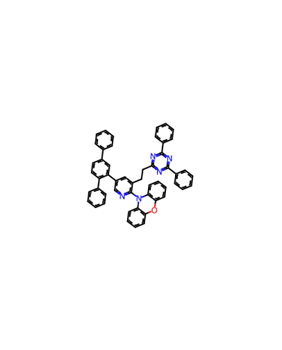 c1ccc(-c2ccc(-c3ccccc3)c(-c3cnc(N4c5ccccc5Oc5ccccc54)c(CCc4nc(-c5ccccc5)nc(-c5ccccc5)n4)c3)c2)cc1